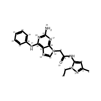 CCn1nc(C)cc1NC(=O)Cn1cnc2c(Nc3ccccc3)nc(N)nc21